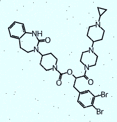 O=C(OC(Cc1ccc(Br)c(Br)c1)C(=O)N1CCN(C2CCN(C3CC3)CC2)CC1)N1CCC(N2CCc3ccccc3NC2=O)CC1